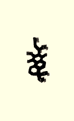 C[C@H](CO)C1=C(O)C(=O)c2c(ccc3c2CCCC3(C)C)C1=O